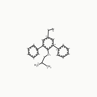 CC(C)COc1c(-c2ccccc2)cc(CBr)cc1-c1ccccc1